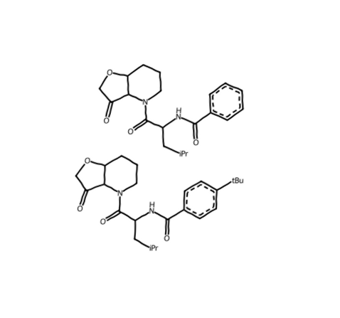 CC(C)CC(NC(=O)c1ccc(C(C)(C)C)cc1)C(=O)N1CCCC2OCC(=O)C21.CC(C)CC(NC(=O)c1ccccc1)C(=O)N1CCCC2OCC(=O)C21